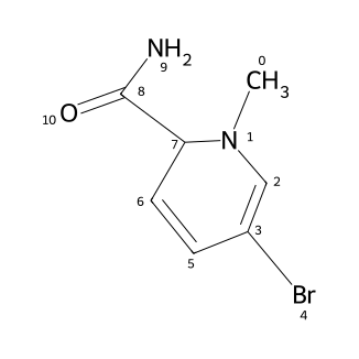 CN1C=C(Br)C=CC1C(N)=O